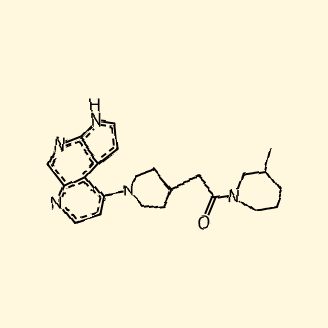 CC1CCCN(C(=O)CC2CCN(c3ccnc4cnc5[nH]ccc5c34)CC2)C1